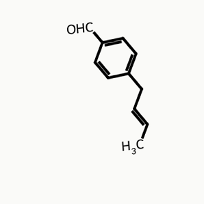 CC=CCc1ccc(C=O)cc1